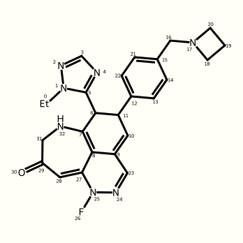 CCn1ncnc1C1C2=C3C(=CC1c1ccc(CN4CCC4)cc1)C=NN(F)C3=CC(=O)CN2